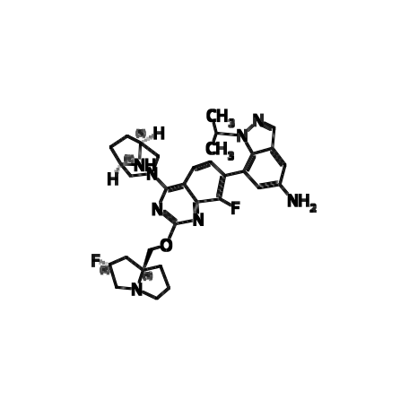 CC(C)n1ncc2cc(N)cc(-c3ccc4c(N5C[C@H]6CC[C@@H](C5)N6)nc(OC[C@@]56CCCN5C[C@H](F)C6)nc4c3F)c21